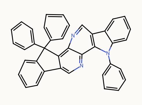 c1ccc(-n2c3ccccc3c3cnc4c5c(cnc4c32)-c2ccccc2C5(c2ccccc2)c2ccccc2)cc1